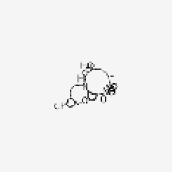 C[C@@H]1CCC[C@H](O)[C@@H]2CC[C@H]2CN2CCCCC3C=C(Cl)C=CC3(C)COc3ccc(cc32)C(=O)NS(=O)(=O)C1